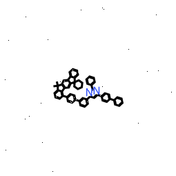 CC1(C)c2cc3c(cc2-c2c(-c4ccc(-c5cccc(-c6cc(-c7ccc(-c8ccccc8)cc7)nc(-c7ccccc7)n6)c5)cc4)cccc21)C1(CCCCC1)c1ccccc1-3